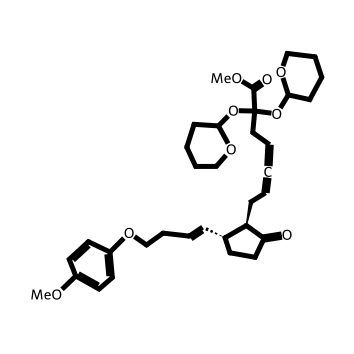 COC(=O)C(CC=C=CC[C@H]1C(=O)CC[C@@H]1/C=C/CCOc1ccc(OC)cc1)(OC1CCCCO1)OC1CCCCO1